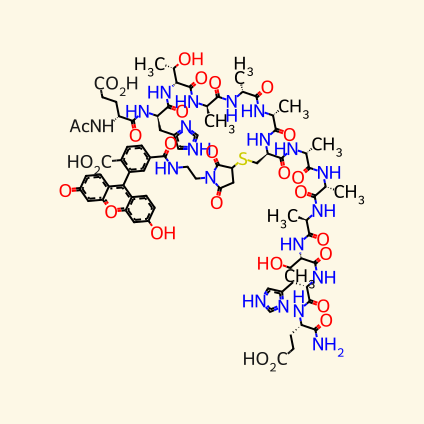 CC(=O)N[C@H](CCC(=O)O)C(=O)N[C@H](Cc1c[nH]cn1)C(=O)N[C@@H](C(=O)N[C@H](C)C(=O)N[C@H](C)C(=O)N[C@H](C)C(=O)N[C@H](CSC1CC(=O)N(CCNC(=O)c2ccc(C(=O)O)c(-c3c4ccc(=O)cc-4oc4cc(O)ccc34)c2)C1=O)C(=O)N[C@H](C)C(=O)N[C@H](C)C(=O)N[C@H](C)C(=O)N[C@H](C(=O)N[C@@H](Cc1c[nH]cn1)C(=O)N[C@@H](CCC(=O)O)C(N)=O)[C@@H](C)O)[C@H](C)O